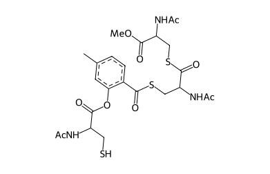 COC(=O)C(CSC(=O)C(CSC(=O)c1ccc(C)cc1OC(=O)C(CS)NC(C)=O)NC(C)=O)NC(C)=O